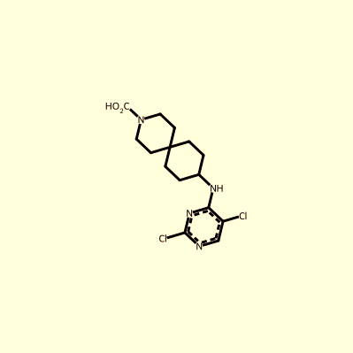 O=C(O)N1CCC2(CCC(Nc3nc(Cl)ncc3Cl)CC2)CC1